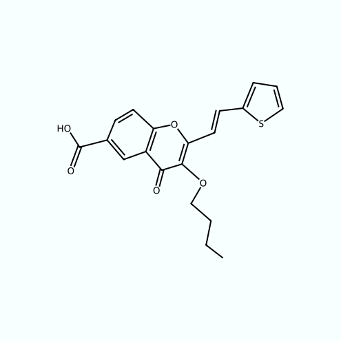 CCCCOc1c(/C=C/c2cccs2)oc2ccc(C(=O)O)cc2c1=O